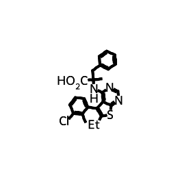 CCc1sc2ncnc(NC(C)(Cc3ccccc3)C(=O)O)c2c1-c1cccc(Cl)c1C